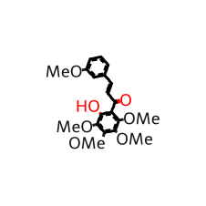 COc1cccc(C=CC(=O)c2c(O)c(OC)c(OC)c(OC)c2OC)c1